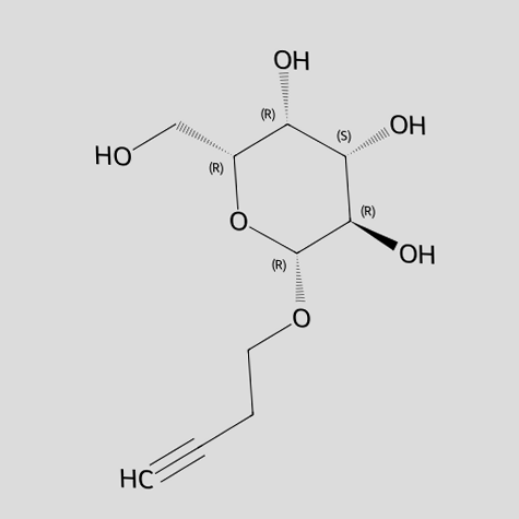 C#CCCO[C@@H]1O[C@H](CO)[C@H](O)[C@H](O)[C@H]1O